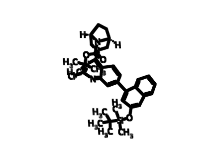 CC(C)(C)OC(=O)N1[C@@H]2CC[C@H]1CN(c1nc(Cl)nc3cc(-c4cc(O[Si](C)(C)C(C)(C)C)cc5ccccc45)ccc13)C2